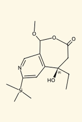 CC[C@@]1(O)CC(=O)OC(OC)c2cnc([Si](C)(C)C)cc21